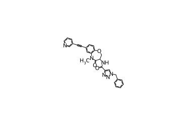 CN1C(=O)C(NC(=O)c2cn(Cc3ccccc3)nn2)COc2ccc(C#Cc3cccnc3)cc21